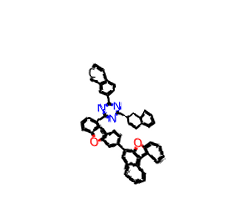 C1=CC(c2nc(-c3ccc4ccccc4c3)nc(-c3cccc4oc5cc(-c6cc7ccccc7c7c6oc6ccccc67)ccc5c34)n2)Cc2ccccc21